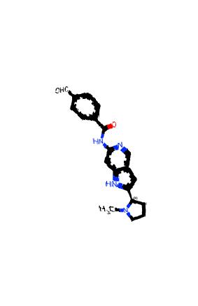 CN1CCC[C@@H]1c1cc2cnc(NC(=O)c3ccc(C=O)cc3)cc2[nH]1